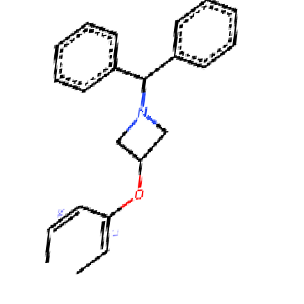 C/C=C\C(=C/C)OC1CN(C(c2ccccc2)c2ccccc2)C1